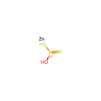 O[PH](=S)S.[Zn]